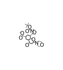 COC(=O)c1cc(-c2cccn2C(=O)OC(C)(C)C)c2oc(N3CCOCC3)cc(=O)c2c1